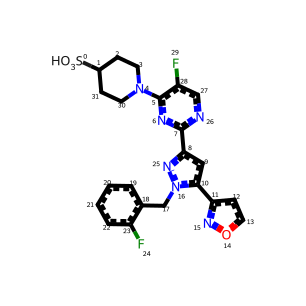 O=S(=O)(O)C1CCN(c2nc(-c3cc(-c4ccon4)n(Cc4ccccc4F)n3)ncc2F)CC1